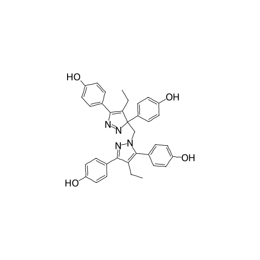 CCC1=C(c2ccc(O)cc2)N=NC1(Cn1nc(-c2ccc(O)cc2)c(CC)c1-c1ccc(O)cc1)c1ccc(O)cc1